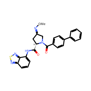 CON=C1C[C@@H](C(=O)Nc2cccc3nsnc23)N(C(=O)c2ccc(-c3ccccc3)cc2)C1